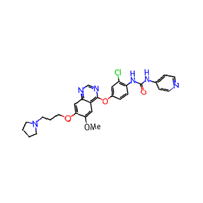 COc1cc2c(Oc3ccc(NC(=O)Nc4ccncc4)c(Cl)c3)ncnc2cc1OCCCN1CCCC1